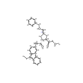 CCn1c2ccccc2c2cc(NC(=O)[C@@H]3C/C(=N\OCc4ccccc4)CN3C(=O)COC)ccc21